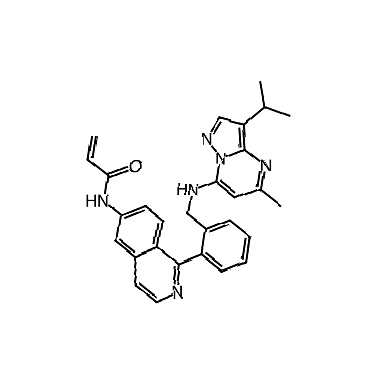 C=CC(=O)Nc1ccc2c(-c3ccccc3CNc3cc(C)nc4c(C(C)C)cnn34)nccc2c1